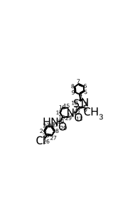 Cc1nc(-c2ccccc2)sc1C(=O)N1CCCC(C(=O)Nc2ccc(Cl)cc2)C1